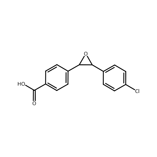 O=C(O)c1ccc(C2OC2c2ccc(Cl)cc2)cc1